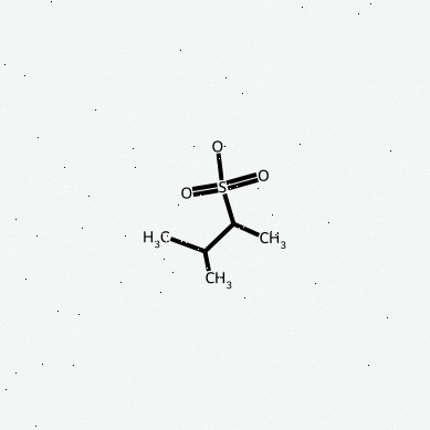 CC(C)C(C)S([O])(=O)=O